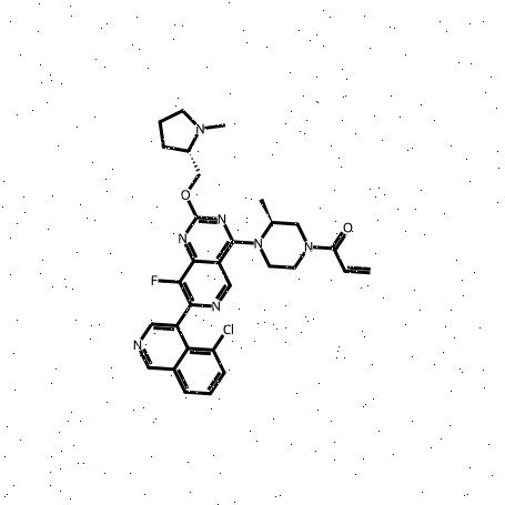 C=CC(=O)N1CCN(c2nc(OC[C@@H]3CCCN3C)nc3c(F)c(-c4cncc5cccc(Cl)c45)ncc23)[C@@H](C)C1